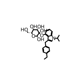 CCc1ccc(Cc2cn(C(C)C)c3cccc(O[C@]4(O)[C@@H](O)O[C@H](CO)[C@@H](O)[C@@H]4O)c23)cc1